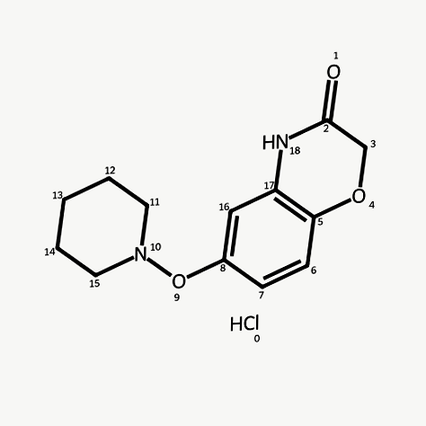 Cl.O=C1COc2ccc(ON3CCCCC3)cc2N1